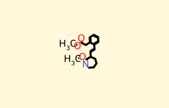 COC(=O)Cc1ccccc1C=CC1CCCCN=C1OC